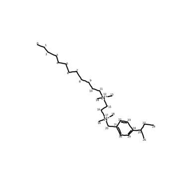 CCCCCCCCCCCC[N+](C)(C)CC[N+](C)(C)Cc1ccc(C(C)CC)cc1